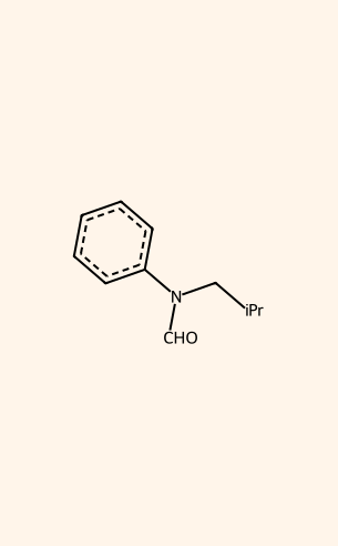 CC(C)CN(C=O)c1ccccc1